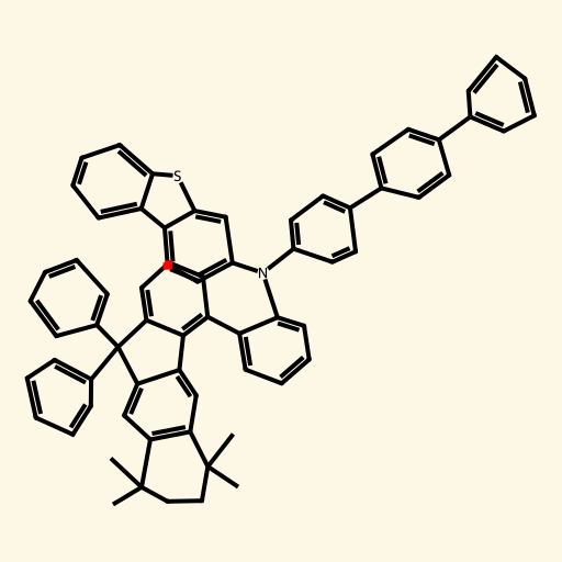 CC1(C)CCC(C)(C)c2cc3c(cc21)-c1c(-c2ccccc2N(c2ccc(-c4ccc(-c5ccccc5)cc4)cc2)c2ccc4c(c2)sc2ccccc24)cccc1C3(c1ccccc1)c1ccccc1